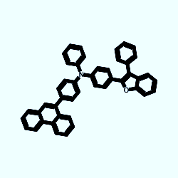 c1ccc(-c2c(-c3ccc(N(c4ccccc4)c4ccc(-c5cc6ccccc6c6ccccc56)cc4)cc3)oc3ccccc23)cc1